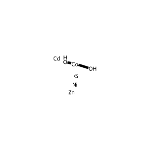 [Cd].[Ni].[OH][Co][OH].[S].[Zn]